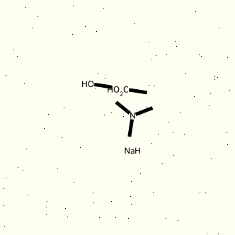 CC(=O)O.CN(C)C.CO.[NaH]